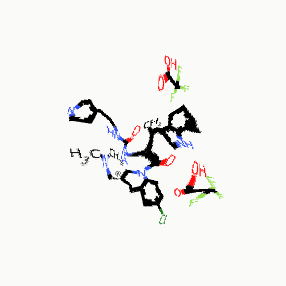 CC(c1c[nH]c2ccccc12)C(NC(=O)NCc1ccncc1)C(=O)N1C[C@@H](CN(C)C)Cc2cc(Cl)ccc21.O=C(O)C(F)(F)F.O=C(O)C(F)(F)F